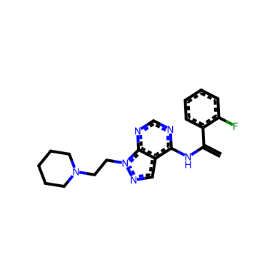 C=C(Nc1ncnc2c1cnn2CCN1CCCCC1)c1ccccc1F